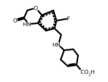 O=C1COc2cc(F)c(CNC3CC=C(C(=O)O)CC3)cc2N1